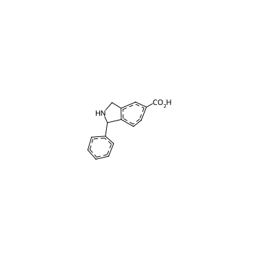 O=C(O)c1ccc2c(c1)CNC2c1ccccc1